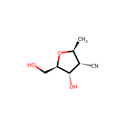 C[C@@H]1O[C@H](CO)[C@@H](O)[C@H]1C#N